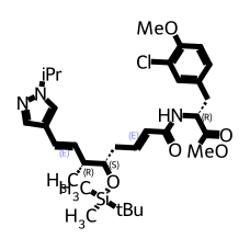 COC(=O)[C@@H](Cc1ccc(OC)c(Cl)c1)NC(=O)/C=C/C[C@H](O[Si](C)(C)C(C)(C)C)[C@H](C)/C=C/c1cnn(C(C)C)c1